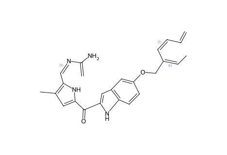 C=C/C=C\C(=C/C)COc1ccc2[nH]c(C(=O)c3cc(C)c(/C=N\C(=C)N)[nH]3)cc2c1